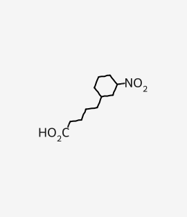 O=C(O)CCCCC1CCCC([N+](=O)[O-])C1